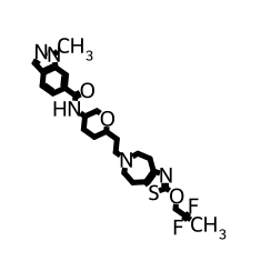 Cn1ncc2ccc(C(=O)NC3CCC(CCN4CCc5nc(OCC(C)(F)F)sc5CC4)OC3)cc21